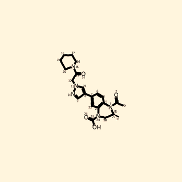 CC(=O)N1c2ccc(-c3cnn(CC(=O)N4CCCCC4)c3)cc2N(C(=O)O)C[C@@H]1C